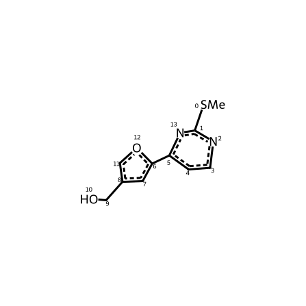 CSc1nccc(-c2cc(CO)co2)n1